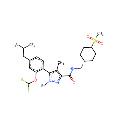 CCn1nc(C(=O)NC[C@H]2CC[C@H](S(C)(=O)=O)CC2)c(C)c1-c1ccc(CC(C(F)(F)F)C(F)(F)F)cc1OC(F)F